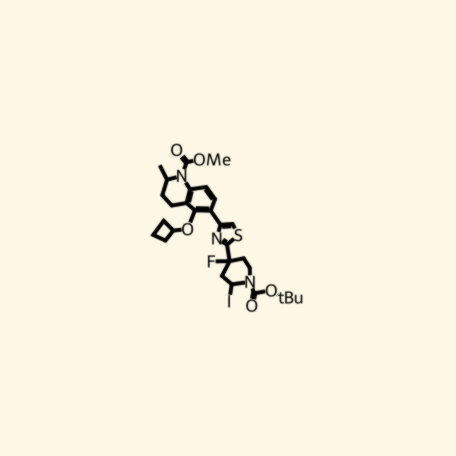 COC(=O)N1c2ccc(-c3csc(C4(F)CCN(C(=O)OC(C)(C)C)C(I)C4)n3)c(OC3CCC3)c2CCC1C